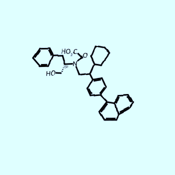 O=C(O)C(=O)N(CC(c1ccc(-c2cccc3ccccc23)cc1)C1CCCCC1)[C@H](CO)Cc1ccccc1